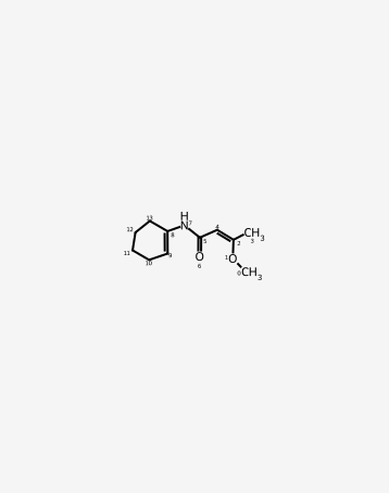 COC(C)=CC(=O)NC1=CCCCC1